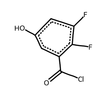 O=C(Cl)c1cc(O)cc(F)c1F